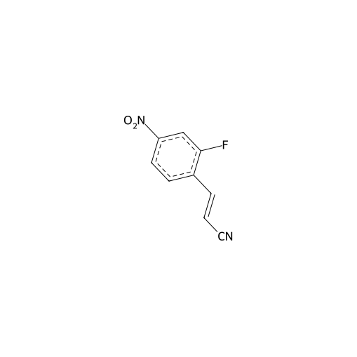 N#C/C=C/c1ccc([N+](=O)[O-])cc1F